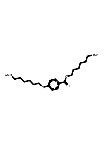 COCCCCCCOC(=O)c1ccc(OCCCCCCOC)cc1